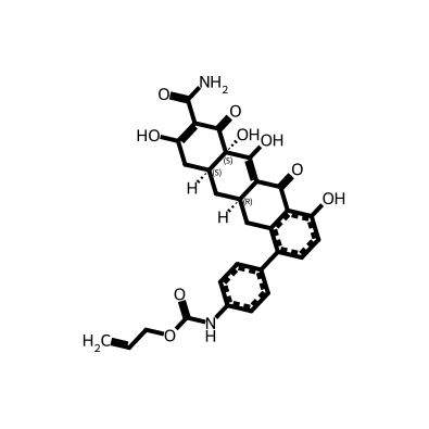 C=CCOC(=O)Nc1ccc(-c2ccc(O)c3c2C[C@H]2C[C@H]4CC(O)=C(C(N)=O)C(=O)[C@@]4(O)C(O)=C2C3=O)cc1